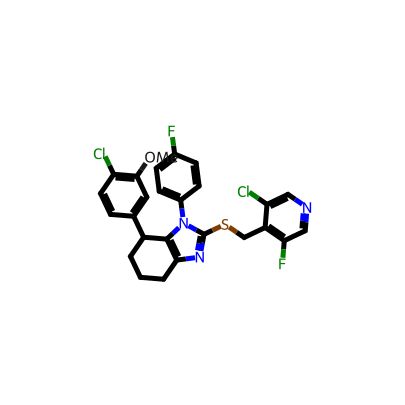 COc1cc(C2CCCc3nc(SCc4c(F)cncc4Cl)n(-c4ccc(F)cc4)c32)ccc1Cl